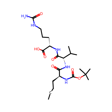 CCCC[C@H](NC(=O)OC(C)(C)C)C(=O)N[C@H](C(=O)N[C@@H](CCCNC(N)=O)C(=O)O)C(C)C